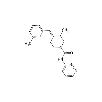 Cc1cccc(C=C2CCN(C(=O)Nc3cccnn3)CC2C)c1